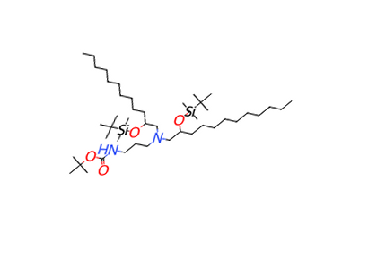 CCCCCCCCCCC(CN(CCCNC(=O)OC(C)(C)C)CC(CCCCCCCCCC)O[Si](C)(C)C(C)(C)C)O[Si](C)(C)C(C)(C)C